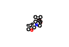 c1ccc2c(c1)Cc1cccc(N(c3ccc4c(c3)C3(c5ccccc5O4)c4ccccc4-c4ccccc43)c3cccc4c3-c3ccccc3C43c4ccccc4-c4ccccc43)c1-2